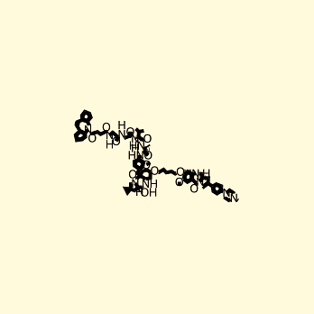 COc1cc2c(cc1OCCCCCOC1CC3NC(O)[C@@H]4CC5(CC5)CN4C(=O)C3(Cc3ccc(NC(=O)[C@H](C)NC(=O)[C@@H](NC(=O)CNC(=O)CNC(=O)CCC(=O)N4Cc5ccccc5C#Cc5ccccc54)C(C)C)cc3)CC1OC)NC[C@@H]1CC(c3ccc(N4CCN(C)CC4)cc3)=CN1C2=O